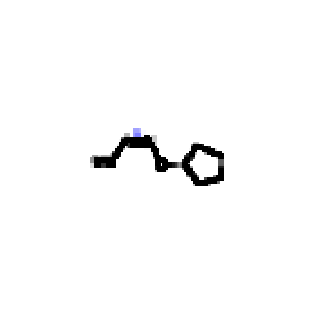 CCCC/[C]=N\OC1CCCC1